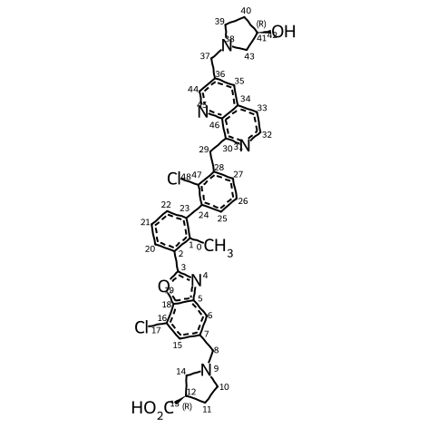 Cc1c(-c2nc3cc(CN4CC[C@@H](C(=O)O)C4)cc(Cl)c3o2)cccc1-c1cccc(Cc2nccc3cc(CN4CC[C@@H](O)C4)cnc23)c1Cl